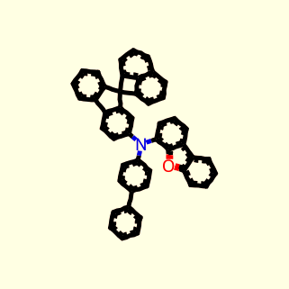 c1ccc(-c2ccc(N(c3ccc4c(c3)C3(c5ccccc5-4)c4cccc5cccc3c45)c3cccc4c3oc3ccccc34)cc2)cc1